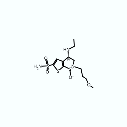 CCN[C@H]1CN(CCCOC)[S+]([O-])c2sc(S(N)(=O)=O)cc21